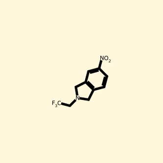 O=[N+]([O-])c1ccc2c(c1)CN(CC(F)(F)F)C2